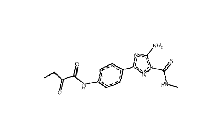 CCC(=O)C(=O)Nc1ccc(-c2nc(N)n(C(=S)NC)n2)cc1